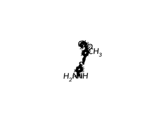 Cc1cc(C#CCSc2ccc(C(=N)N)cc2)ccc1C(=O)N1CCOCC1